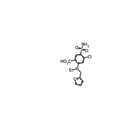 CCN(Cc1ccco1)c1cc(Cl)c(S(N)(=O)=O)cc1C(=O)O